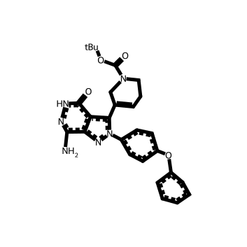 CC(C)(C)OC(=O)N1CCC=C(c2c3c(=O)[nH]nc(N)c3nn2-c2ccc(Oc3ccccc3)cc2)C1